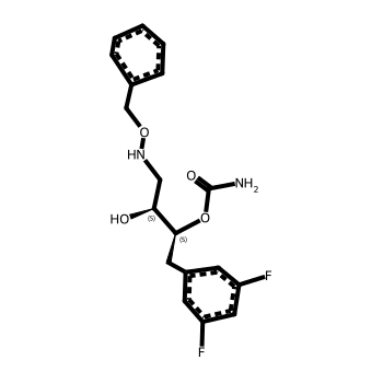 NC(=O)O[C@@H](Cc1cc(F)cc(F)c1)[C@@H](O)CNOCc1ccccc1